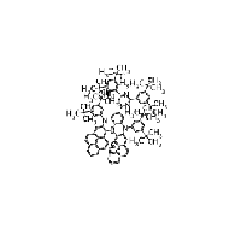 CC(C)(C)c1cc(-c2cc(-c3cc4c5c(c3)N(c3cc(C(C)(C)C)cc(C(C)(C)C)c3)c3cc6ccc7cccc8ccc(c3B5c3c(cc5ccc9cccc%10ccc3c5c9%10)N4c3cc(C(C)(C)C)cc(C(C)(C)C)c3)c6c78)nc(-c3cc(C(C)(C)C)cc(C(C)(C)C)c3)n2)cc(C(C)(C)C)c1